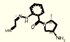 C[C@@H]1C[C@@H](N)CN1C(=O)c1ccccc1N/N=C\C=N